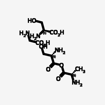 C[C@H](N)C(=O)OC(=O)[C@@H](N)CO.NCC(=O)O.N[C@@H](CO)C(=O)O